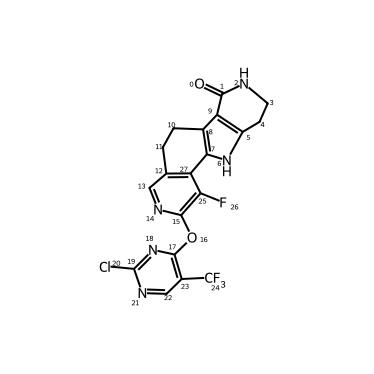 O=C1NCCc2[nH]c3c(c21)CCc1cnc(Oc2nc(Cl)ncc2C(F)(F)F)c(F)c1-3